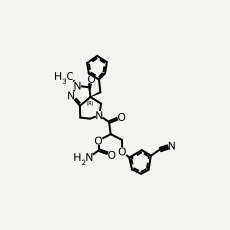 CN1N=C2CCN(C(=O)C(COc3cccc(C#N)c3)OC(N)=O)C[C@@]2(Cc2ccccc2)C1=O